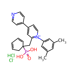 Cc1cc(C)cc(-[n+]2ccc(-c3ccncc3)cc2CC2(P(=O)(O)O)C=CC=CC2)c1.Cl.[Cl-]